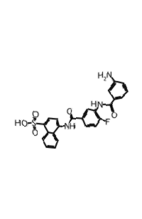 Nc1cccc(C(=O)Nc2cc(C(=O)Nc3ccc(S(=O)(=O)O)c4ccccc34)ccc2F)c1